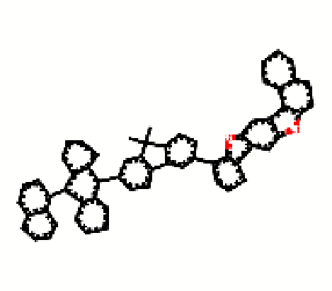 CC1(C)c2ccc(-c3cccc4c3oc3cc5c(cc34)oc3ccc4ccccc4c35)cc2-c2ccc(-c3c4ccccc4c(-c4cccc5ccccc45)c4ccccc34)cc21